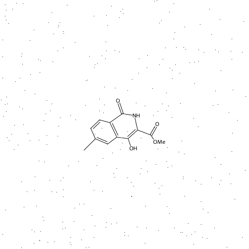 COC(=O)c1[nH]c(=O)c2ccc(C)cc2c1O